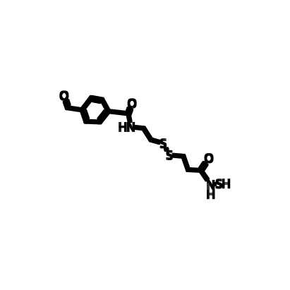 O=Cc1ccc(C(=O)NCCSSCCC(=O)NS)cc1